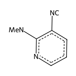 [C-]#[N+]c1cccnc1NC